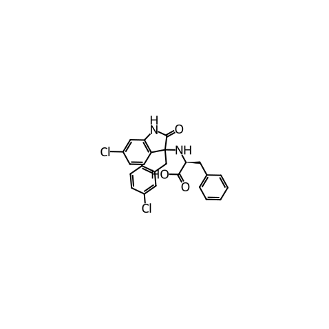 O=C(O)[C@H](Cc1ccccc1)NC1(Cc2cccc(Cl)c2)C(=O)Nc2cc(Cl)ccc21